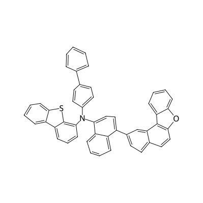 c1ccc(-c2ccc(N(c3ccc(-c4ccc5ccc6oc7ccccc7c6c5c4)c4ccccc34)c3cccc4c3sc3ccccc34)cc2)cc1